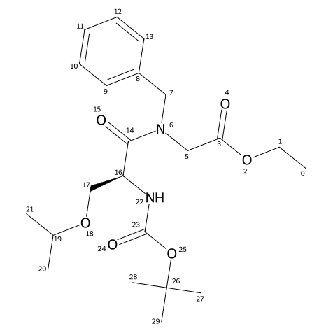 CCOC(=O)CN(Cc1ccccc1)C(=O)[C@H](COC(C)C)NC(=O)OC(C)(C)C